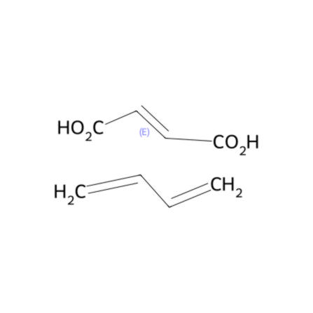 C=CC=C.O=C(O)/C=C/C(=O)O